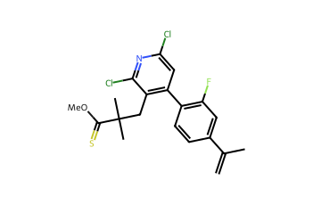 C=C(C)c1ccc(-c2cc(Cl)nc(Cl)c2CC(C)(C)C(=S)OC)c(F)c1